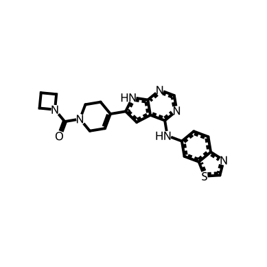 O=C(N1CC=C(c2cc3c(Nc4ccc5ncsc5c4)ncnc3[nH]2)CC1)N1CCC1